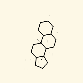 C[C@]12CC[C@H]3[C@@H](CC[C@@H]4C[C@@H](O)CC[C@@H]43)[C@@H]1CC[C@@H]2O